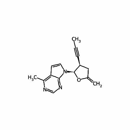 C=C1C[C@H](C#CC)[C@H](n2ccc3c(C)ncnc32)O1